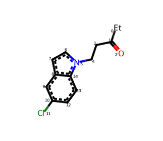 CCC(=O)CCn1ccc2cc(Cl)ccc21